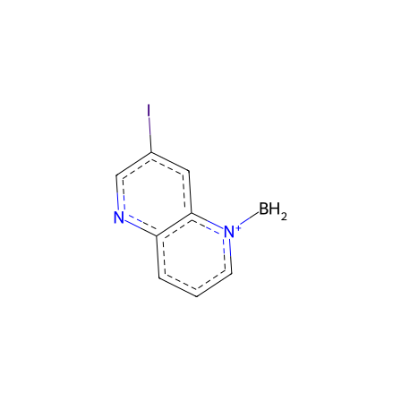 B[n+]1cccc2ncc(I)cc21